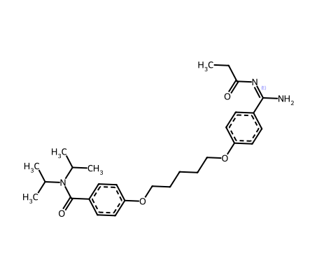 CCC(=O)/N=C(/N)c1ccc(OCCCCCOc2ccc(C(=O)N(C(C)C)C(C)C)cc2)cc1